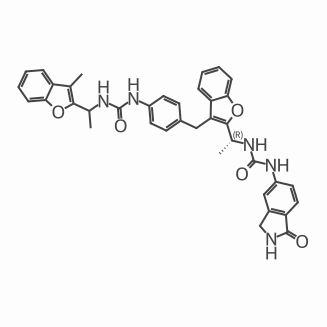 Cc1c(C(C)NC(=O)Nc2ccc(Cc3c([C@@H](C)NC(=O)Nc4ccc5c(c4)CNC5=O)oc4ccccc34)cc2)oc2ccccc12